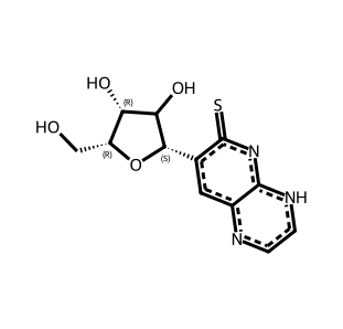 OC[C@H]1O[C@@H](c2cc3ncc[nH]c-3nc2=S)C(O)[C@H]1O